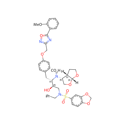 COc1ccccc1-c1nc(COc2ccc(C[C@@H]([C@H](O)CN(CC(C)C)S(=O)(=O)c3ccc4c(c3)OCO4)N(C(=O)O)[C@H]3CO[C@H]4OCC[C@H]43)cc2)no1